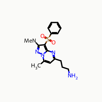 CNc1nn2c(C)cc(CCCN)nc2c1S(=O)(=O)c1ccccc1